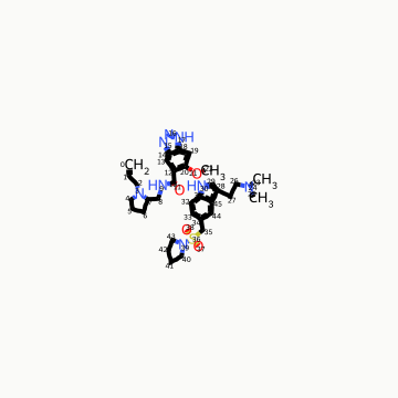 C=CCN1CCCC1CNC(=O)c1cc2nn[nH]c2cc1OC.CN(C)CCc1c[nH]c2ccc(CS(=O)(=O)N3CCCC3)cc12